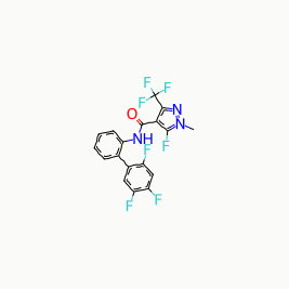 Cn1nc(C(F)(F)F)c(C(=O)Nc2ccccc2-c2cc(F)c(F)cc2F)c1F